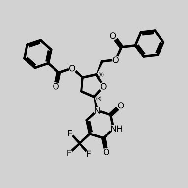 O=C(OC[C@H]1O[C@@H](n2cc(C(F)(F)F)c(=O)[nH]c2=O)CC1OC(=O)c1ccccc1)c1ccccc1